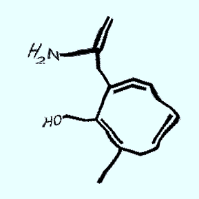 C=C(N)c1cccc(C)c1O